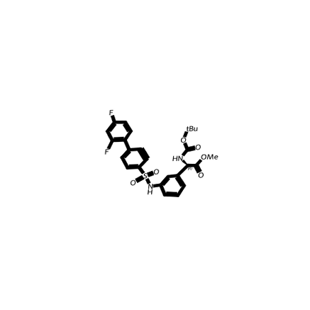 COC(=O)[C@H](NC(=O)OC(C)(C)C)c1cccc(NS(=O)(=O)c2c#cc(-c3ccc(F)cc3F)cc2)c1